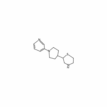 c1cncc(N2CCC(C3CNCCS3)CC2)c1